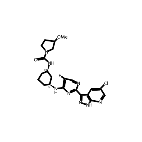 COC1CCN(C(=O)N[C@@H]2CCC[C@H](Nc3nc(-c4n[nH]c5ncc(Cl)cc45)ncc3F)C2)C1